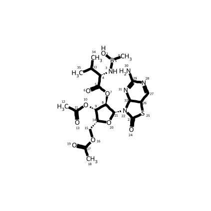 CB(O)N[C@H](C(=O)O[C@@H]1[C@@H](OC(C)=O)[C@@H](COC(C)=O)O[C@H]1N1C(=O)SC2C=NC(N)=NC21)C(C)C